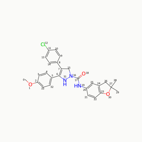 COc1ccc(C2=C(c3ccc(Cl)cc3)CN(C(=O)Nc3ccc4c(c3)CC(C)(C)O4)N2)cc1